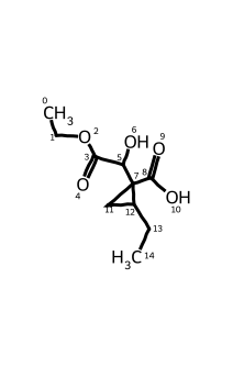 CCOC(=O)C(O)C1(C(=O)O)CC1CC